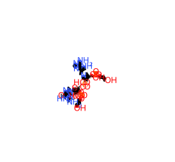 CO[C@H]1C(OP(=O)(O)OCCCO)[C@@H](COP(=O)(O)O[C@@H]2CN(Cc3c[nH]c4c(N)ncnc34)C[C@@H]2COP(=O)(O)OCCCO)O[C@H]1n1cnc2c(=O)[nH]c(N)nc21